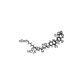 CCCCCCCCCCCCCCCC(=O)N[C@@H](CCC(=O)NCC(=O)Oc1ccc2nc3c(c(CC)c2c1)Cn1c-3cc2c(c1=O)COC(=O)[C@]2(O)CC)C(=O)O